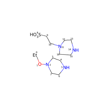 CCON1CCNCC1.O=S(=O)(O)CCN1CCNCC1